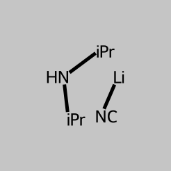 CC(C)NC(C)C.[Li][C]#N